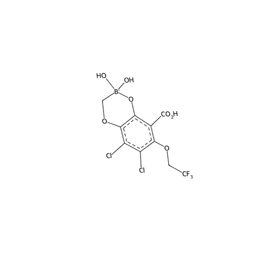 O=C(O)c1c(OCC(F)(F)F)c(Cl)c(Cl)c2c1O[B-](O)(O)CO2